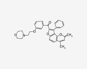 C=C1C=C(C)c2ccc3oc(C(=O)c4cccc(OCCN5CCOCC5)c4)c(-c4ccccc4)c3c2O1